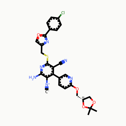 [C-]#[N+]c1c(N)nc(SCc2coc(-c3ccc(Cl)cc3)n2)c(C#N)c1-c1ccc(OC[C@@H]2COC(C)(C)O2)nc1